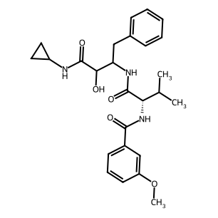 COc1cccc(C(=O)N[C@H](C(=O)NC(Cc2ccccc2)C(O)C(=O)NC2CC2)C(C)C)c1